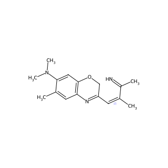 CC(=N)/C(C)=C\C1=Nc2cc(C)c(N(C)C)cc2OC1